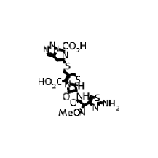 CO/N=C(\C(=O)N[C@@H]1C(=O)N2C(C(=O)O)=C(CSc3cc4cnnn4c(C(=O)O)n3)CS[C@H]12)c1csc(N)n1